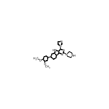 COc1ccc(-c2ccc3c(c2)[nH]c2c(-n4ccnc4)nc(N4CCNCC4)nc23)cc1OC